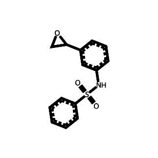 O=S(=O)(Nc1cccc(C2CO2)c1)c1ccccc1